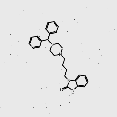 O=c1[nH]c2ccccc2n1CCCCN1CCN(C(c2ccccc2)c2ccccc2)CC1